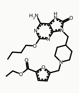 CCCCOc1nc(N)c2[nH]c(=O)n(CC3CCN(Cc4ccc(C(=O)OCC)o4)CC3)c2n1